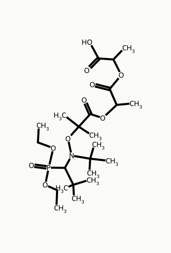 CCOP(=O)(OCC)C(N(OC(C)(C)C(=O)OC(C)C(=O)OC(C)C(=O)O)C(C)(C)C)C(C)(C)C